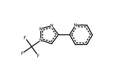 FC(F)(F)n1cc(-c2ccccn2)nn1